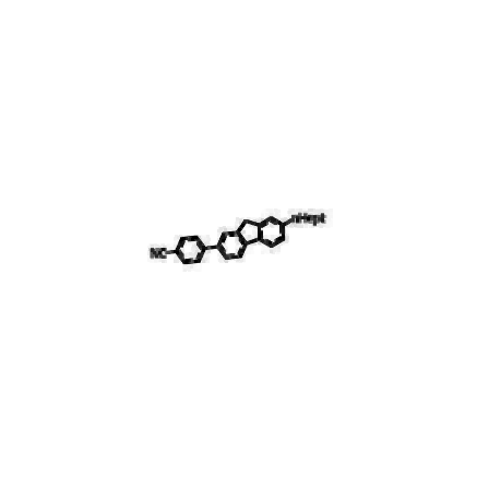 CCCCCCCc1ccc2c(c1)Cc1cc(-c3ccc(C#N)cc3)ccc1-2